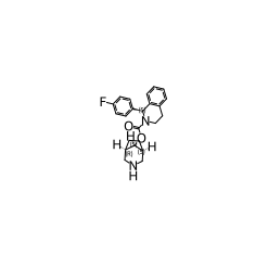 O=C(O[C@@H]1[C@@H]2CC[C@H]1CNC2)N1CCc2ccccc2[C@@H]1c1ccc(F)cc1